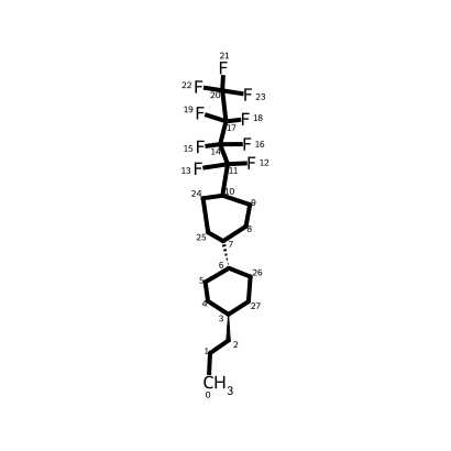 CCC[C@H]1CC[C@H](C2CCC(C(F)(F)C(F)(F)C(F)(F)C(F)(F)F)CC2)CC1